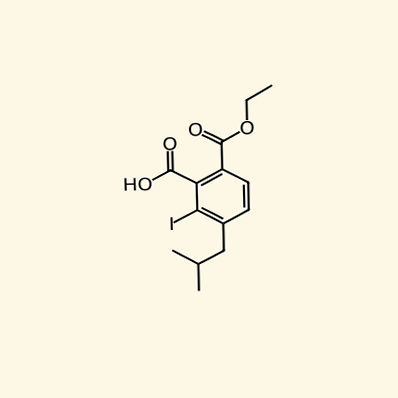 CCOC(=O)c1ccc(CC(C)C)c(I)c1C(=O)O